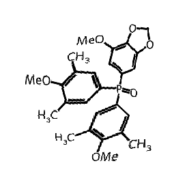 COc1cc(P(=O)(c2cc(C)c(OC)c(C)c2)c2cc(C)c(OC)c(C)c2)cc2c1OCO2